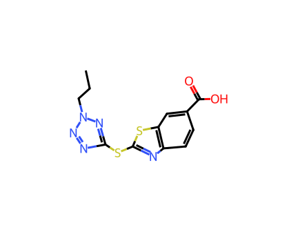 CCCn1nnc(Sc2nc3ccc(C(=O)O)cc3s2)n1